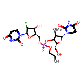 COC1C(OP(=S)(OCCC#N)OC[C@H]2O[C@@H](n3ccc(=O)[nH]c3=O)C(F)C2O)[C@@H](CO)O[C@H]1n1ccc(=O)[nH]c1=O